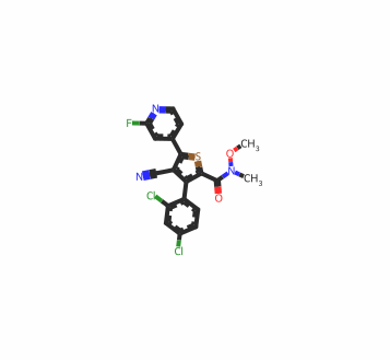 CON(C)C(=O)c1sc(-c2ccnc(F)c2)c(C#N)c1-c1ccc(Cl)cc1Cl